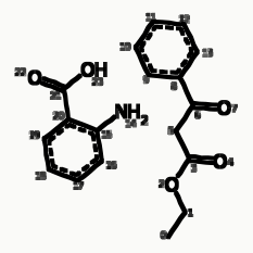 CCOC(=O)CC(=O)c1ccccc1.Nc1ccccc1C(=O)O